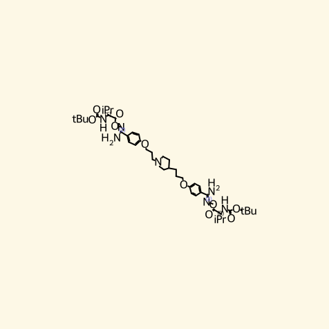 CC(C)[C@H](NC(=O)OC(C)(C)C)C(=O)O/N=C(\N)c1ccc(OCCCN2CCC(CCCOc3ccc(/C(N)=N/OC(=O)[C@H](NC(=O)OC(C)(C)C)C(C)C)cc3)CC2)cc1